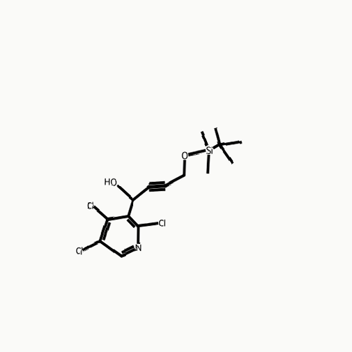 CC(C)(C)[Si](C)(C)OCC#CC(O)c1c(Cl)ncc(Cl)c1Cl